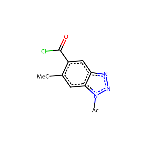 COc1cc2c(cc1C(=O)Cl)nnn2C(C)=O